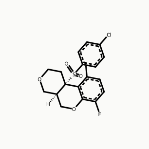 O=S(=O)(c1ccc(Cl)cc1)[C@@]12CCOC[C@@H]1COc1c(F)ccc(F)c12